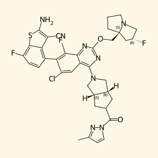 Cc1ccn(C(=O)C2C[C@@H]3CN(c4nc(OC[C@@]56CCCN5C[C@H](F)C6)nc5c(F)c(-c6ccc(F)c7sc(N)c(C#N)c67)c(Cl)cc45)C[C@@H]3C2)n1